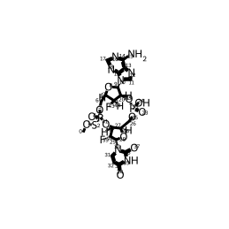 COS[P@]1(=O)OC[C@H]2O[C@@H](n3cnc4c(N)ncnc43)[C@H](OP(=O)(O)OC[C@H]3O[C@@H](n4ccc(=O)[nH]c4=O)[C@H](F)[C@@H]3O1)[C@@H]2F